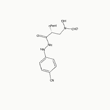 CCCCC[C@H](CN(O)C=O)C(=O)NNc1ccc(C#N)cc1